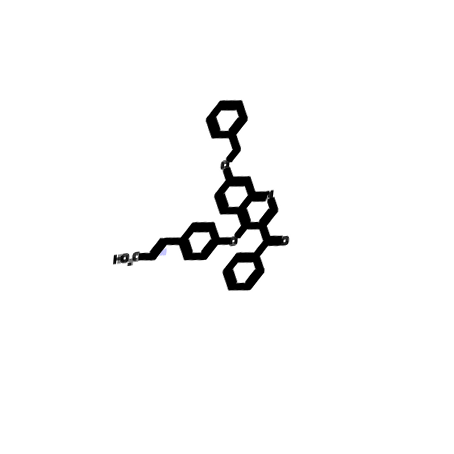 O=C(O)/C=C/c1ccc(Oc2c(C(=O)c3ccccc3)cnc3cc(OCc4ccccc4)ccc23)cc1